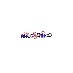 C=CC(=O)Nc1cc2c(s1)CN(S(=O)(=O)c1ccc(C(=O)NC3Cc4ccccc4C3)cc1)C2